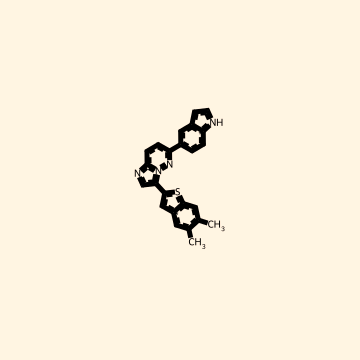 Cc1cc2cc(-c3cnc4ccc(-c5ccc6[nH]ccc6c5)nn34)sc2cc1C